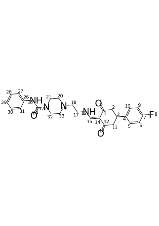 O=C1CC(c2ccc(F)cc2)CC(=O)C1=CNCCN1CCN(C(=O)Nc2ccccc2)CC1